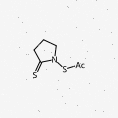 CC(=O)SN1CCCC1=S